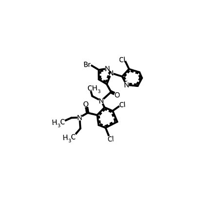 CCN(CC)C(=O)c1cc(Cl)cc(Cl)c1N(CC)C(=O)c1cc(Br)nn1-c1ncccc1Cl